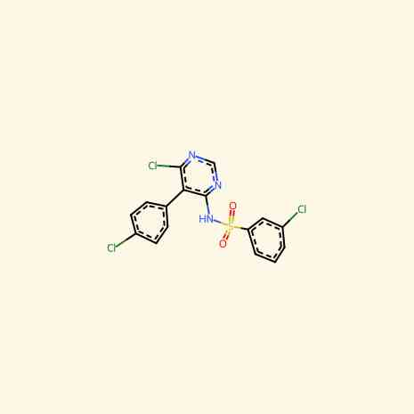 O=S(=O)(Nc1ncnc(Cl)c1-c1ccc(Cl)cc1)c1cccc(Cl)c1